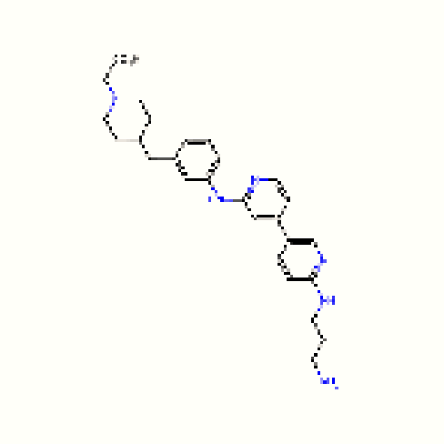 NCCCNc1ccc(-c2ccnc(Nc3cccc(CC4CCN(CC(=O)O)CC4)c3)c2)cn1